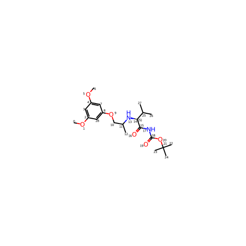 COc1cc(OC)cc(OCC(C)N[C@H](C(=O)NC(=O)OC(C)(C)C)C(C)C)c1